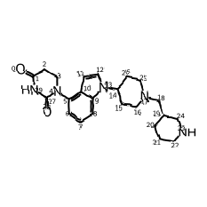 O=C1CCN(c2cccc3c2ccn3C2CCN(C[C@@H]3CCCNC3)CC2)C(=O)N1